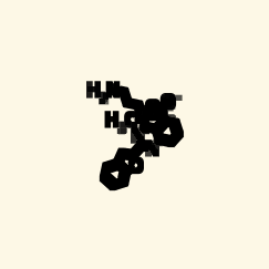 C[N+](C)(CCCN)c1nc(-c2cc3ccccc3o2)nc2cccc([N+](=O)[O-])c12